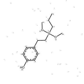 CCC[Si](CCc1ccc(O)cc1)(OC)OC